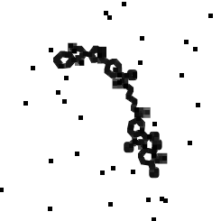 O=C1CCC(N2C(=O)c3ccc(NCCCCNC(=O)N4CCC(n5cc(-c6cnc7ccccc7n6)cn5)CC4)cc3C2=O)C(=O)N1